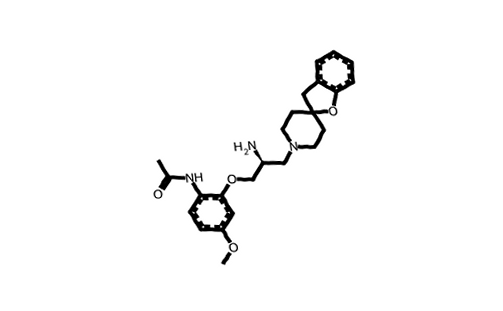 COc1ccc(NC(C)=O)c(OC[C@@H](N)CN2CCC3(CC2)Cc2ccccc2O3)c1